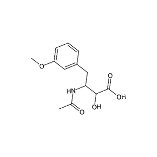 COc1cccc(CC(NC(C)=O)C(O)C(=O)O)c1